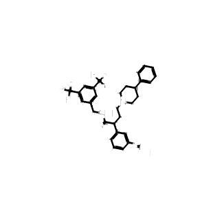 COc1cccc(C(CCN2CCC(c3ccccc3)CC2)C(=O)NCc2cc(C(F)(F)F)cc(C(F)(F)F)c2)c1